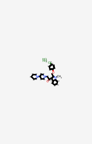 Cl.Cl.Cn1c(COc2ccc(Cl)cc2)c(C(=O)CN2CCC(N3CCCCC3)CC2)c2ccccc21